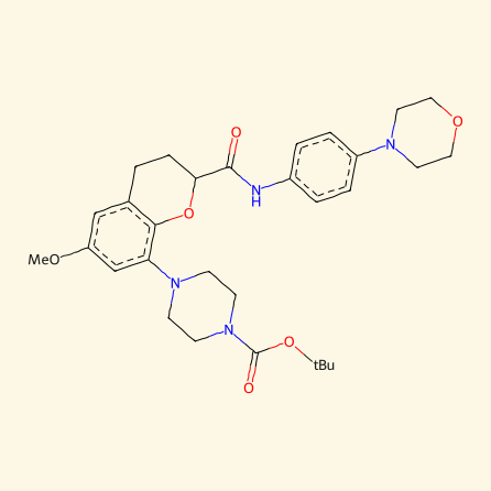 COc1cc2c(c(N3CCN(C(=O)OC(C)(C)C)CC3)c1)OC(C(=O)Nc1ccc(N3CCOCC3)cc1)CC2